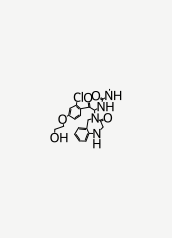 CNC(=O)NC(C(=O)c1ccc(OCCO)cc1Cl)N1Cc2ccccc2NCC1=O